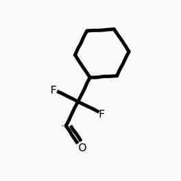 O=[C]C(F)(F)C1CCCCC1